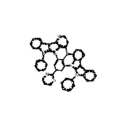 C1=C2C3=C(CC1c1ncccn1)n1c4c(cccc4c4c5ccccc5n(-c5ccccc5)c41)B3c1ccnc3c4c5ccccc5n(-c5ccccc5)c4n2c13